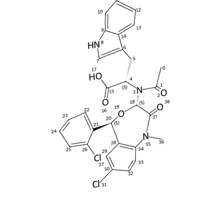 CC(=O)N([C@@H](Cc1c[nH]c2ccccc12)C(=O)O)[C@H]1O[C@H](c2ccccc2Cl)c2cc(Cl)ccc2N(C)C1=O